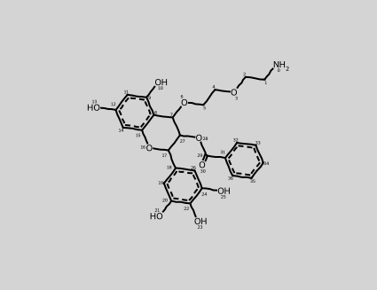 NCCOCCOC1c2c(O)cc(O)cc2OC(c2cc(O)c(O)c(O)c2)C1OC(=O)c1ccccc1